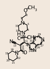 COCCN1CCN(C(C)(C)C(=C(C#N)C(=O)N2CCCCC2)n2cnc3cnccc32)CC1